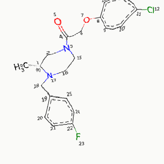 C[C@@H]1CN(C(=O)COc2ccc(Cl)cc2)CCN1Cc1ccc(F)cc1